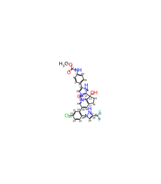 COC(=O)Nc1ccc(-c2cnc(C3(O)CCc4cc(-c5cc(Cl)ccc5-n5cc(C(F)F)[nH]5)c[n+]([O-])c43)[nH]2)cc1